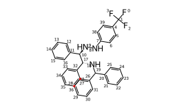 FC(F)(F)c1ccc(NN[C@H](c2ccccc2)[C@H](NC(c2ccccc2)c2ccccc2)c2ccccc2)cc1